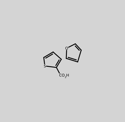 O=C(O)c1cccs1.c1ccoc1